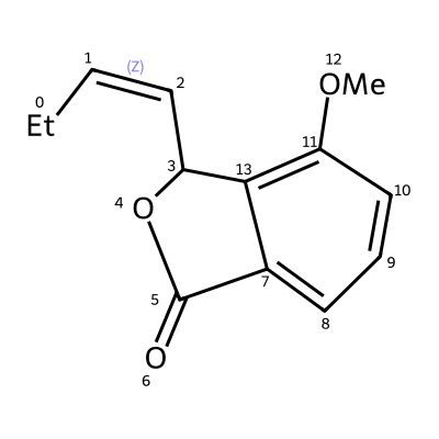 CC/C=C\C1OC(=O)c2cccc(OC)c21